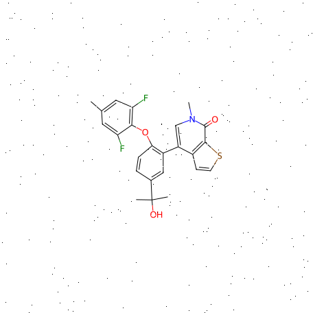 Cc1cc(F)c(Oc2ccc(C(C)(C)O)cc2-c2cn(C)c(=O)c3sccc23)c(F)c1